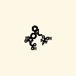 CCN[C@]1(c2ccccc2)CC[C@@]2(CC1)CN(CC(=O)O)C(=O)N2.O=C(O)C(F)(F)F